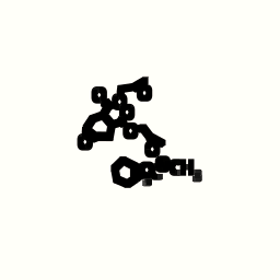 C1CCC2OC2C1.COC.O=C(OCC1CO1)C1C=C2OC2CC1C(=O)OCC1CO1